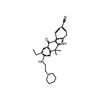 CCc1cc2c(cc1NCCN1CCCCC1)C(C)(C)c1[nH]c3c(c1C2=O)C=CC(C#N)=CC3